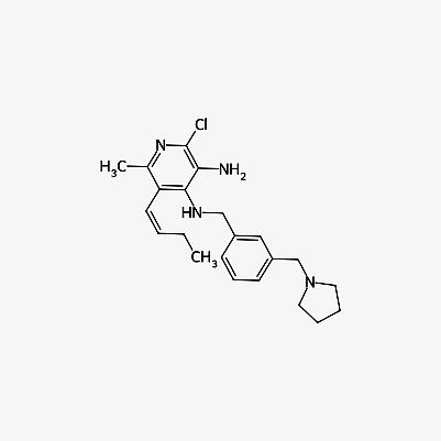 CC/C=C\c1c(C)nc(Cl)c(N)c1NCc1cccc(CN2CCCC2)c1